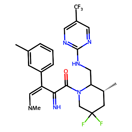 CN/C=C(\C(=N)C(=O)N1CC(F)(F)C[C@@H](C)C1CNc1ncc(C(F)(F)F)cn1)c1cccc(C)c1